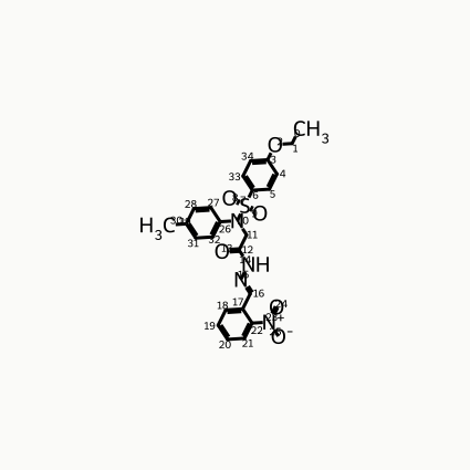 CCOc1ccc(S(=O)(=O)N(CC(=O)N/N=C/c2ccccc2[N+](=O)[O-])c2ccc(C)cc2)cc1